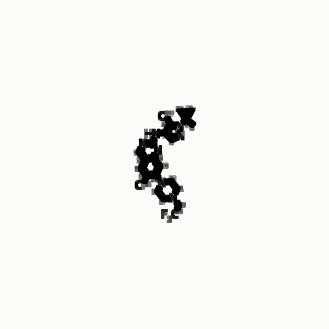 CC1(n2ncc(Nc3ncc4cc(Cl)c(N5CCN(CC(F)(F)F)CC5)cc4n3)c2Cl)CC1